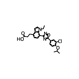 CCn1ccc2c(CCC(=O)O)ccc(-c3noc(-c4ccc(OC(C)C)c(Cl)c4)n3)c21